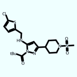 CC(C)(C)C(=O)n1nc(C2CCN(S(C)(=O)=O)CC2)cc1NCc1ccc(Cl)s1